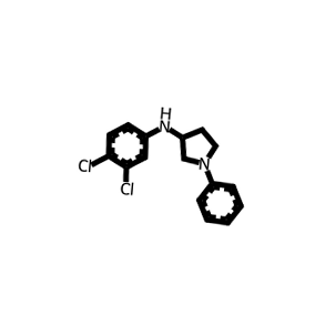 Clc1ccc(NC2CCN(c3ccccc3)C2)cc1Cl